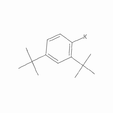 CC(C)(C)c1cc[c]([K])c(C(C)(C)C)c1